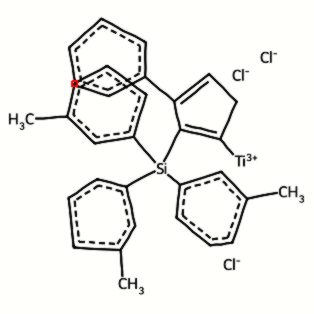 Cc1cccc([Si](C2=[C]([Ti+3])CC=C2c2ccccc2)(c2cccc(C)c2)c2cccc(C)c2)c1.[Cl-].[Cl-].[Cl-]